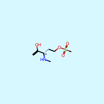 C=C(O)[C@H](CCOS(C)(=O)=O)NC